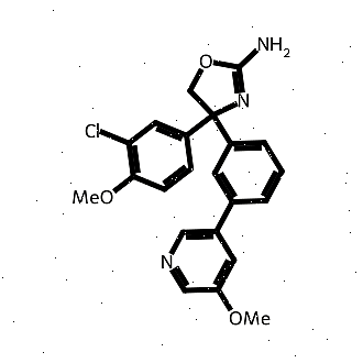 COc1cncc(-c2cccc(C3(c4ccc(OC)c(Cl)c4)COC(N)=N3)c2)c1